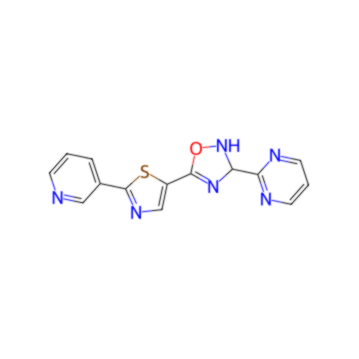 c1cnc(C2N=C(c3cnc(-c4cccnc4)s3)ON2)nc1